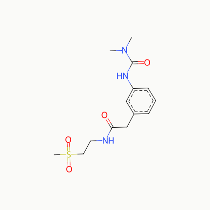 CN(C)C(=O)Nc1cccc(CC(=O)NCCS(C)(=O)=O)c1